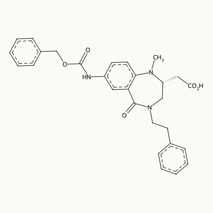 CN1c2ccc(NC(=O)OCc3ccccc3)cc2C(=O)N(CCc2ccccc2)C[C@H]1CC(=O)O